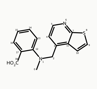 CN(Cc1ccnc2sccc12)c1ccccc1C(=O)O